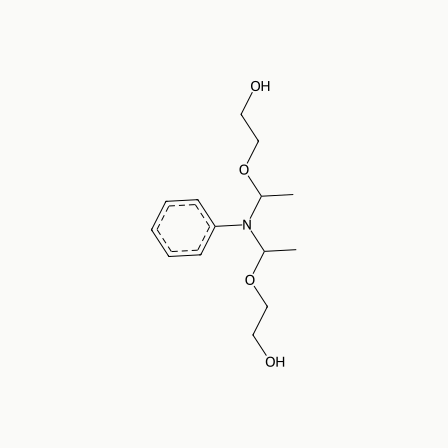 CC(OCCO)N(c1ccccc1)C(C)OCCO